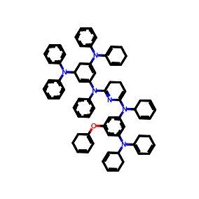 C1=CCCC(Oc2cc(N(C3=CC=CCC3)C3C=CC=CC3)cc(N(C3=CCCC(N(C4=CC(N(c5ccccc5)c5ccccc5)CC(N(C5=CCCC=C5)c5ccccc5)=C4)c4ccccc4)=N3)C3C=CC=CC3)c2)=C1